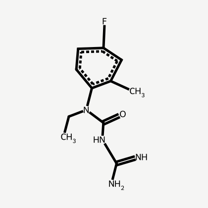 CCN(C(=O)NC(=N)N)c1ccc(F)cc1C